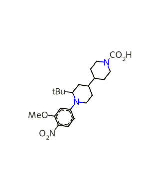 COc1cc(N2CCC(C3CCN(C(=O)O)CC3)CC2C(C)(C)C)ccc1[N+](=O)[O-]